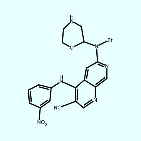 CCN(c1cc2c(Nc3cccc([N+](=O)[O-])c3)c(C#N)cnc2cn1)C1CNCCO1